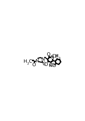 C=CC(=O)N1CCN2Cc3c(c(Cl)c(-c4c(O)cccc4F)n(C)c3=O)OCC2C1